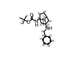 CC(C)(C)OC(=O)NC12CCC(CC(NCc3ccccc3)C1)N2